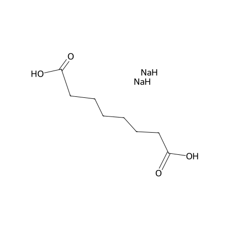 O=C(O)CCCCCCC(=O)O.[NaH].[NaH]